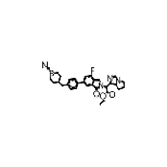 CCOC(=O)C(c1ncn2c1CCC2)N1Cc2c(F)cc(-c3ccc(CC4CCB(C#N)CC4)cc3)cc2C1=O